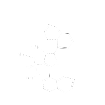 CCCOP(=O)(OCCC)c1c(-c2cccc3ccccc23)sc(-c2cccc3ccccc23)c1C=O